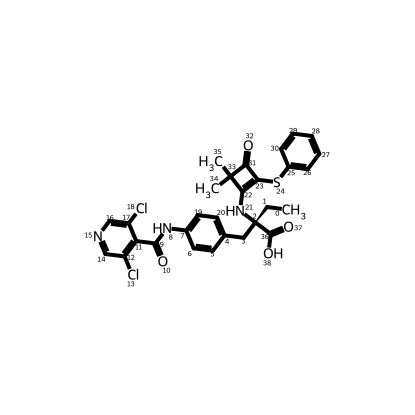 CC[C@@](Cc1ccc(NC(=O)c2c(Cl)cncc2Cl)cc1)(NC1=C(Sc2ccccc2)C(=O)C1(C)C)C(=O)O